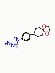 C=N/N=C\N(C)c1ccc(C2CCC3(CC2)OCCO3)cc1